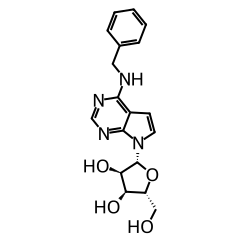 OC[C@H]1O[C@@H](n2ccc3c(NCc4ccccc4)ncnc32)[C@H](O)[C@@H]1O